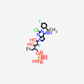 CC/C=C(/COP(=O)(O)CP(=O)(O)O)[C@@H](O)[C@H](F)[C@@H](O)n1ccc2c(N[C@@H](C)c3ccc(F)cc3)nc(Cl)nc21